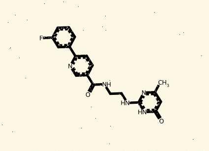 Cc1cc(=O)[nH]c(NCCNC(=O)c2ccc(-c3cccc(F)c3)nc2)n1